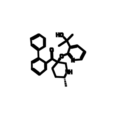 C[C@@H]1CC[C@](Oc2ncccc2C(C)(C)O)(C(=O)c2ccccc2-c2ccccc2)CN1